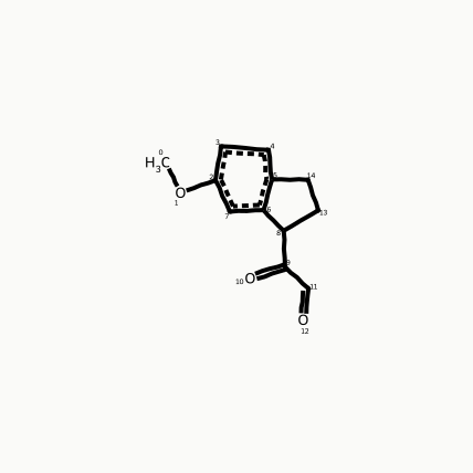 COc1ccc2c(c1)C(C(=O)C=O)CC2